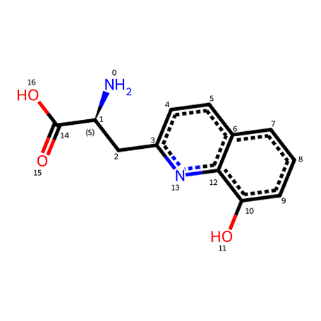 N[C@@H](Cc1ccc2cccc(O)c2n1)C(=O)O